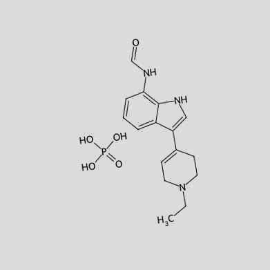 CCN1CC=C(c2c[nH]c3c(NC=O)cccc23)CC1.O=P(O)(O)O